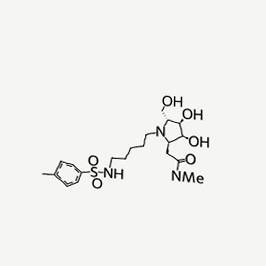 CNC(=O)C[C@@H]1[C@H](O)[C@H](O)[C@@H](CO)N1CCCCCNS(=O)(=O)c1ccc(C)cc1